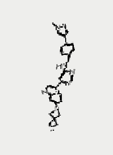 Cn1cc(-c2ccc(CNc3cc(-c4cnc5cc(N6CC7(COC7)C6)ccn45)ncn3)cc2)cn1